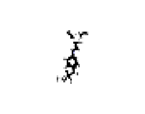 CCOC(/C=C/c1ccc(CC(C)(C)O)cc1)OCC